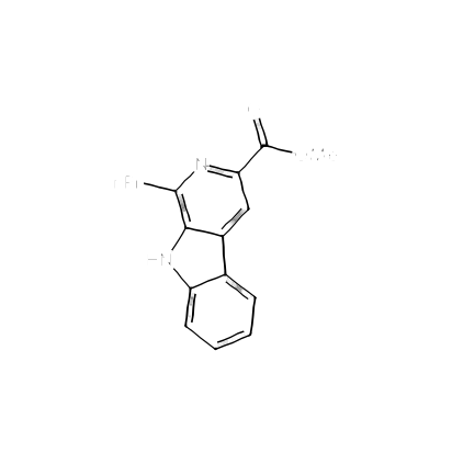 CCCc1nc(C(=O)OC)cc2c1[nH]c1ccccc12